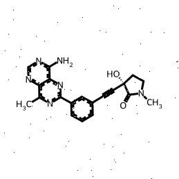 Cc1nc(-c2cccc(C#C[C@@]3(O)CCN(C)C3=O)c2)nc2c(N)ncnc12